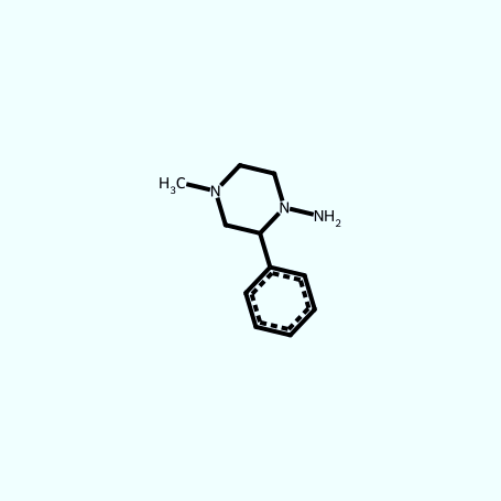 CN1CCN(N)C(c2ccccc2)C1